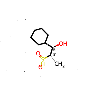 C[C@@H]([C@H](O)C1CCCCC1)[SH](=O)=O